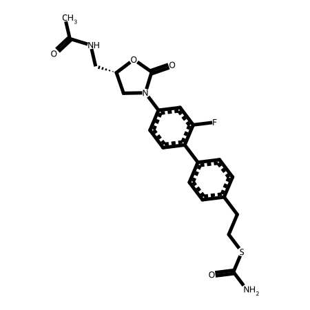 CC(=O)NC[C@H]1CN(c2ccc(-c3ccc(CCSC(N)=O)cc3)c(F)c2)C(=O)O1